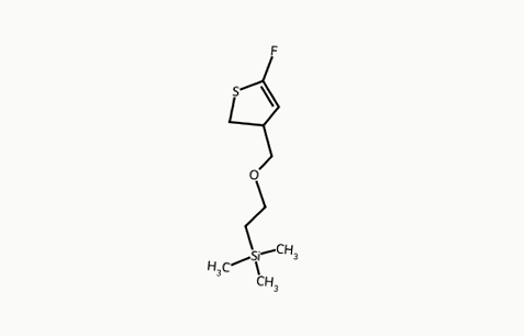 C[Si](C)(C)CCOCC1C=C(F)SC1